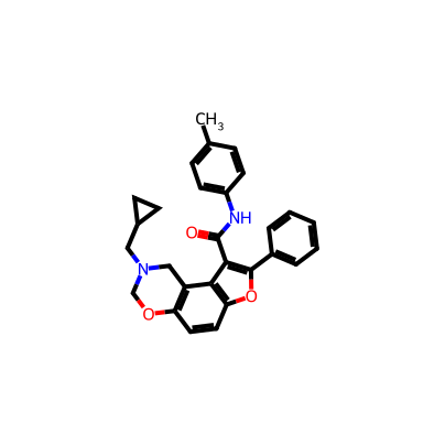 Cc1ccc(NC(=O)c2c(-c3ccccc3)oc3ccc4c(c23)CN(CC2CC2)CO4)cc1